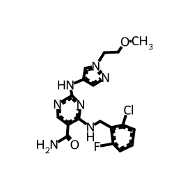 COCCn1cc(Nc2ncc(C(N)=O)c(NCc3c(F)cccc3Cl)n2)cn1